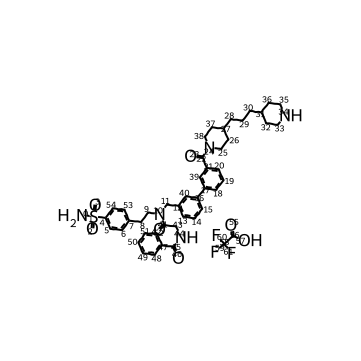 NS(=O)(=O)c1ccc(CCN(Cc2cccc(-c3cccc(C(=O)N4CCC(CCCC5CCNCC5)CC4)c3)c2)C(=O)CNC(=O)c2ccccc2)cc1.O=C(O)C(F)(F)F